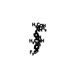 Cn1c(Nc2nc3ccc(OC(F)(F)F)cc3s2)nc2cc(CNCC(C)(C)O)ccc21